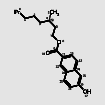 CC(C)CCC[C@H](C)CCOC(=O)c1ccc2cc(O)ccc2c1